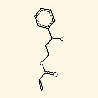 C=CC(=O)OCCC(Cl)c1ccccc1